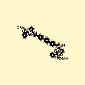 COC(=O)N[C@@H](C(=O)N1CCC[C@H]1c1nc(-c2ccc(-c3ccc(-c4ccc(-c5c[nH]c([C@@H]6CCCN6C(=O)[C@H](NC(=O)OC)c6ccccc6)n5)cc4)cc3)cc2)c[nH]1)c1ccccc1